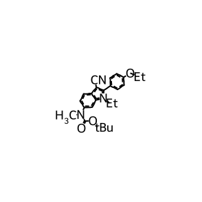 CCOc1ccc(-c2c(C#N)c3ccc(N(C)C(=O)OC(C)(C)C)cc3n2CC)cc1